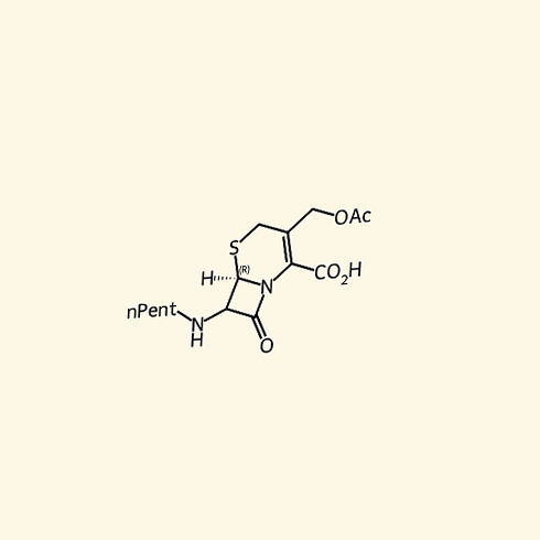 CCCCCNC1C(=O)N2C(C(=O)O)=C(COC(C)=O)CS[C@H]12